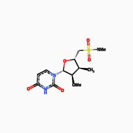 CNS(=O)(=O)C[C@H]1O[C@@H](n2ccc(=O)[nH]c2=O)[C@H](OC)[C@@H]1C